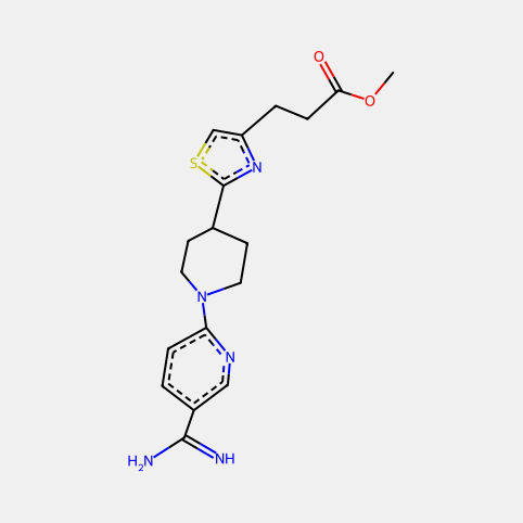 COC(=O)CCc1csc(C2CCN(c3ccc(C(=N)N)cn3)CC2)n1